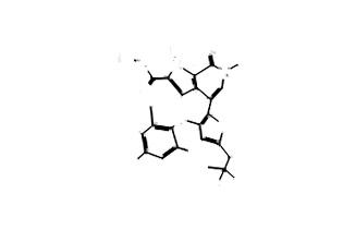 CCn1c(C(=O)NC(C)C)cc2c(-c3sc(CC(C)(C)O)cc3Oc3c(C)cc(F)cc3C)cn(C)c(=O)c21